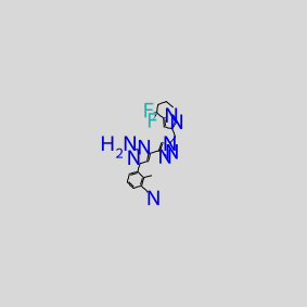 Cc1c(C#N)cccc1-c1cc(-c2cn(Cc3cc4n(n3)CCCC4(F)F)nn2)nc(N)n1